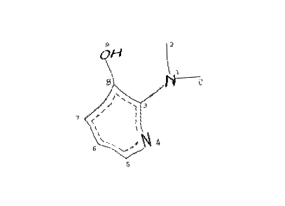 CN(C)c1ncccc1O